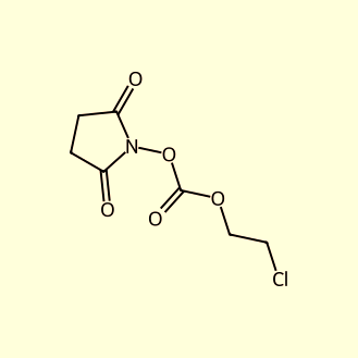 O=C(OCCCl)ON1C(=O)CCC1=O